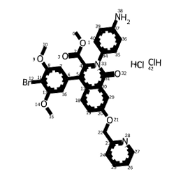 COC(=O)c1c(-c2cc(OC)c(Br)c(OC)c2)c2ccc(OCc3ccccn3)cc2c(=O)n1-c1ccc(N)cc1.Cl.Cl